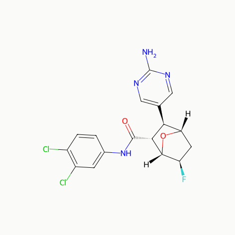 Nc1ncc([C@@H]2[C@@H](C(=O)Nc3ccc(Cl)c(Cl)c3)[C@@H]3O[C@H]2C[C@H]3F)cn1